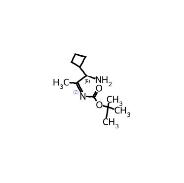 C/C(=N/C(=O)OC(C)(C)C)[C@H](N)C1CCC1